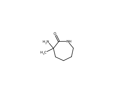 CC1(N)CCCCNC1=O